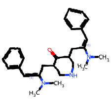 CN(C)/C(=C/c1ccccc1)CC1CNCC(C/C(=C\c2ccccc2)N(C)C)C1=O